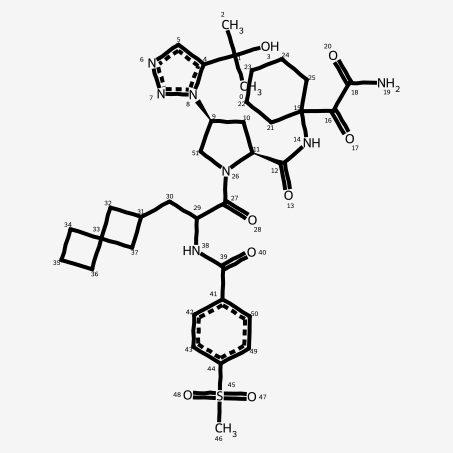 CC(C)(O)c1cnnn1[C@H]1C[C@@H](C(=O)NC2(C(=O)C(N)=O)CCCCC2)N(C(=O)C(CC2CC3(CCC3)C2)NC(=O)c2ccc(S(C)(=O)=O)cc2)C1